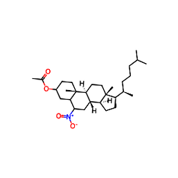 CC(=O)OC1CC[C@@]2(C)C(C1)C([N+](=O)[O-])C[C@H]1[C@@H]3CC[C@H]([C@H](C)CCCC(C)C)[C@@]3(C)CC[C@@H]12